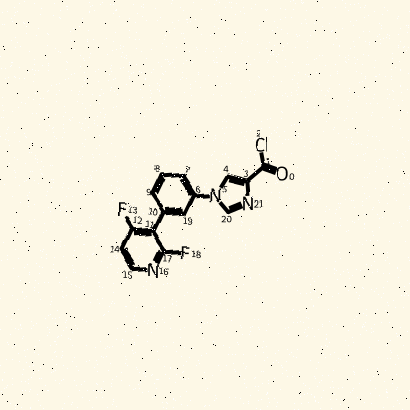 O=C(Cl)c1cn(-c2cccc(-c3c(F)ccnc3F)c2)cn1